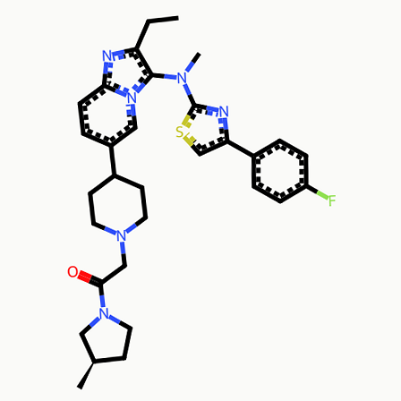 CCc1nc2ccc(C3CCN(CC(=O)N4CC[C@@H](C)C4)CC3)cn2c1N(C)c1nc(-c2ccc(F)cc2)cs1